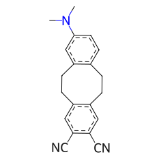 CN(C)c1ccc2c(c1)CCc1cc(C#N)c(C#N)cc1CC2